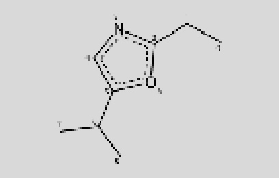 CCc1ncc(C(C)C)o1